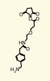 NCc1ccc(CC(=O)NCCOCCC(=O)ON2C(=O)CCC2=O)cc1